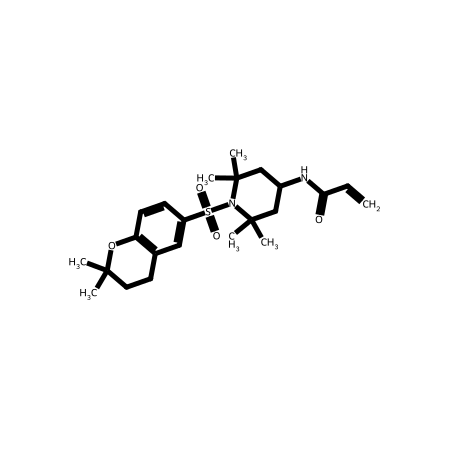 C=CC(=O)NC1CC(C)(C)N(S(=O)(=O)c2ccc3c(c2)CCC(C)(C)O3)C(C)(C)C1